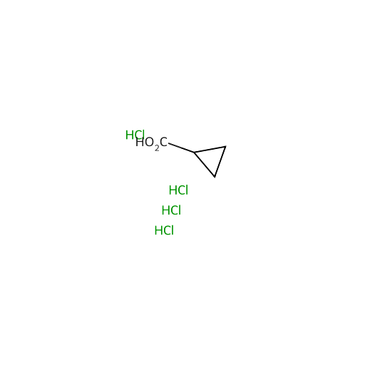 Cl.Cl.Cl.Cl.O=C(O)C1CC1